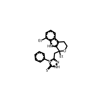 CCc1cccc2c3c([nH]c12)C(CC)(Cc1n[nH]c(=S)n1-c1ccccc1)OCC3